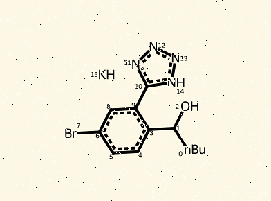 CCCCC(O)c1ccc(Br)cc1-c1nnn[nH]1.[KH]